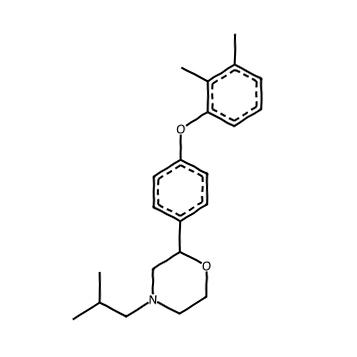 Cc1cccc(Oc2ccc(C3CN(CC(C)C)CCO3)cc2)c1C